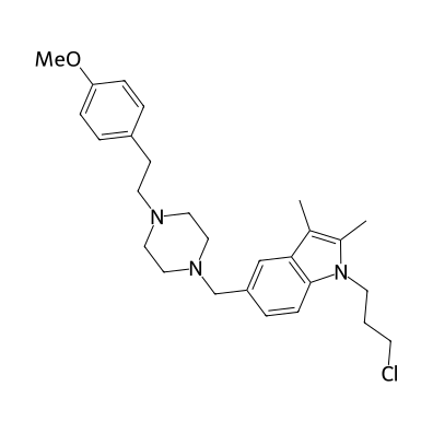 COc1ccc(CCN2CCN(Cc3ccc4c(c3)c(C)c(C)n4CCCCl)CC2)cc1